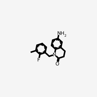 Cc1cccc(CN2C(=O)CCc3cc(N)ccc32)c1F